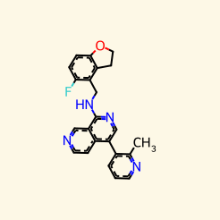 Cc1ncccc1-c1cnc(NCc2c(F)ccc3c2CCO3)c2cnccc12